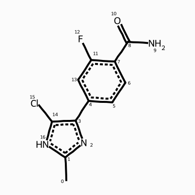 Cc1nc(-c2ccc(C(N)=O)c(F)c2)c(Cl)[nH]1